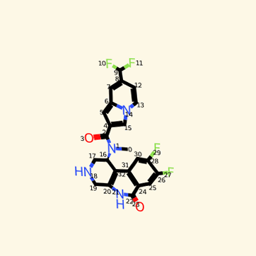 CN(C(=O)c1cc2cc(C(F)F)ccn2c1)[C@@H]1CNCc2[nH]c(=O)c3cc(F)c(F)cc3c21